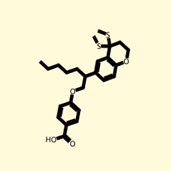 CCCCCC(COc1ccc(C(=O)O)cc1)c1ccc2c(c1)C(SC)(SC)CCO2